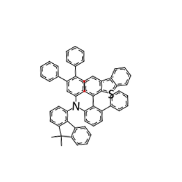 CC1(C)c2ccccc2-c2c(N(c3ccc(-c4ccccc4)c(-c4ccccc4)c3)c3cccc(-c4ccccc4)c3-c3cccc4c3sc3ccccc34)cccc21